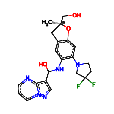 C[C@@]1(CO)Cc2cc(NC(O)c3cnn4cccnc34)c(N3CCC(F)(F)C3)cc2O1